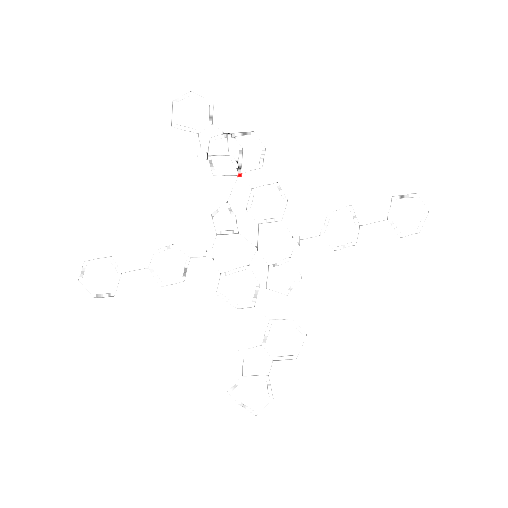 C1=CC2=C(C1)C1(c3cc(-c4ccccc4)ccc3N2c2ccc(-c3ccccc3)cc2)c2cc(-c3cccc4c3oc3ccccc34)ccc2N(c2ccc(-c3ccccc3)cc2)c2ccc(-c3cccc4c3oc3ccccc34)cc21